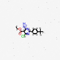 CCOC(=O)c1c(N)nc(-c2ccc(C(C)(C)C)cc2)nc1Cl